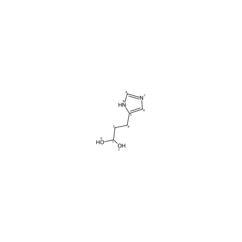 OC(O)CCc1cnc[nH]1